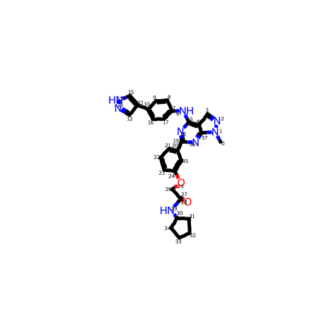 Cn1ncc2c(Nc3ccc(-c4cn[nH]c4)cc3)nc(-c3cccc(OCC(=O)NC4CCCC4)c3)nc21